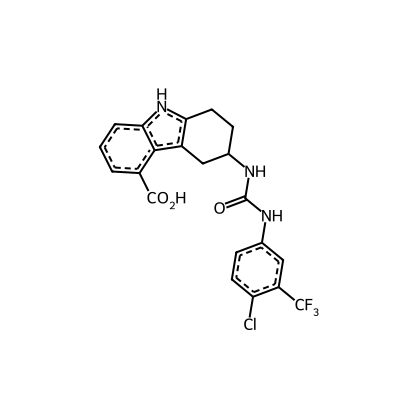 O=C(Nc1ccc(Cl)c(C(F)(F)F)c1)NC1CCc2[nH]c3cccc(C(=O)O)c3c2C1